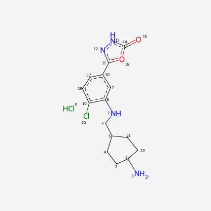 Cl.NC1CCC(CNc2cc(-c3n[nH]c(=O)o3)ccc2Cl)CC1